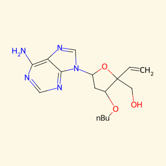 C=CC1(CO)OC(n2cnc3c(N)ncnc32)CC1OCCCC